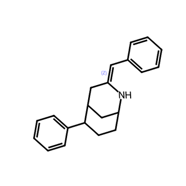 C(=C1\CC2CC(CCC2c2ccccc2)N1)/c1ccccc1